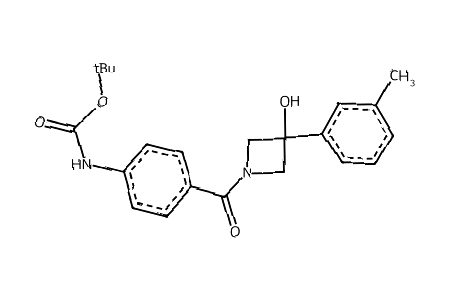 Cc1cccc(C2(O)CN(C(=O)c3ccc(NC(=O)OC(C)(C)C)cc3)C2)c1